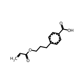 C=CC(=O)OCCCc1ccc(C(=O)O)cc1